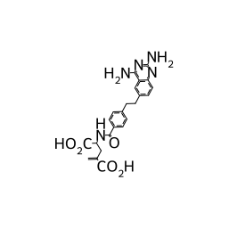 C=C(CC(NC(=O)c1ccc(CCc2ccc3nc(N)nc(N)c3c2)cc1)C(=O)O)C(=O)O